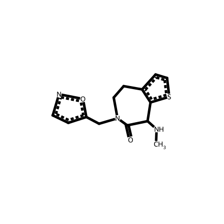 CNC1C(=O)N(Cc2ccno2)CCc2ccsc21